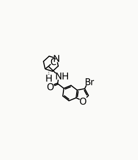 O=C(N[C@@H]1CN2CCC1CC2)c1ccc2occ(Br)c2c1